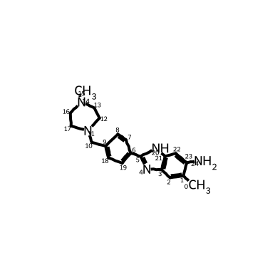 Cc1cc2nc(-c3ccc(CN4CCN(C)CC4)cc3)[nH]c2cc1N